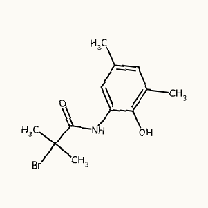 Cc1cc(C)c(O)c(NC(=O)C(C)(C)Br)c1